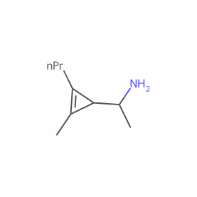 CCCC1=C(C)C1C(C)N